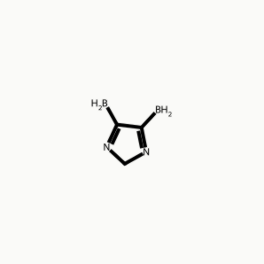 BC1=NCN=C1B